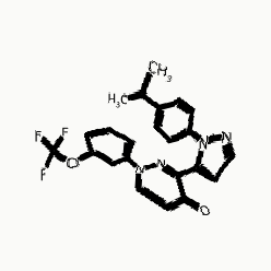 CC(C)c1ccc(-n2nccc2-c2nn(-c3cccc(OC(F)(F)F)c3)ccc2=O)cc1